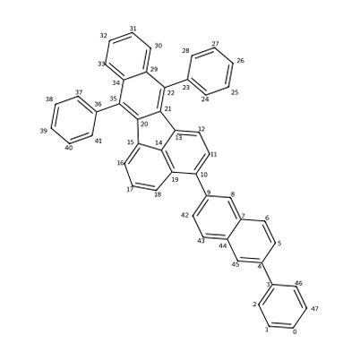 c1ccc(-c2ccc3cc(-c4ccc5c6c(cccc46)-c4c-5c(-c5ccccc5)c5ccccc5c4-c4ccccc4)ccc3c2)cc1